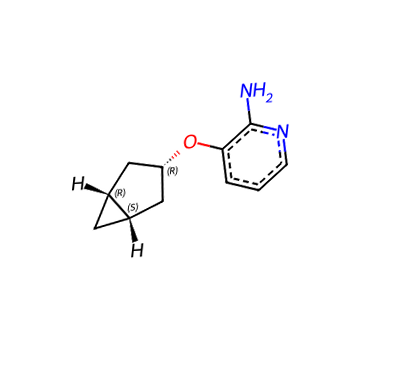 Nc1ncccc1O[C@@H]1C[C@@H]2C[C@@H]2C1